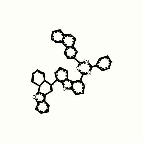 C1=CC2C(c3cccc4c3oc3cccc(-c5nc(-c6ccccc6)nc(-c6ccc7c(ccc8ccccc87)c6)n5)c34)=Cc3c(oc4ccccc34)C2C=C1